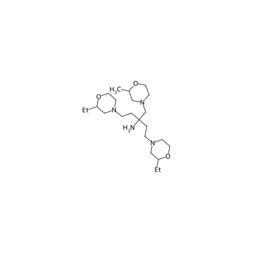 CCC1CN(CCC(N)(CCN2CCOC(CC)C2)CN2CCOC(C)C2)CCO1